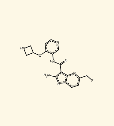 Nc1nn2ccc(CF)nc2c1C(=O)Nc1cnccc1OC1CNC1